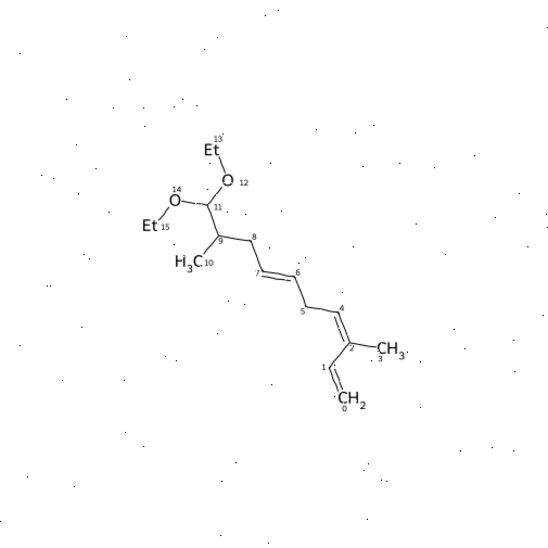 C=CC(C)=CCC=CCC(C)C(OCC)OCC